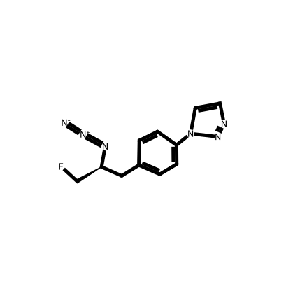 [N-]=[N+]=N[C@H](CF)Cc1ccc(-n2ccnn2)cc1